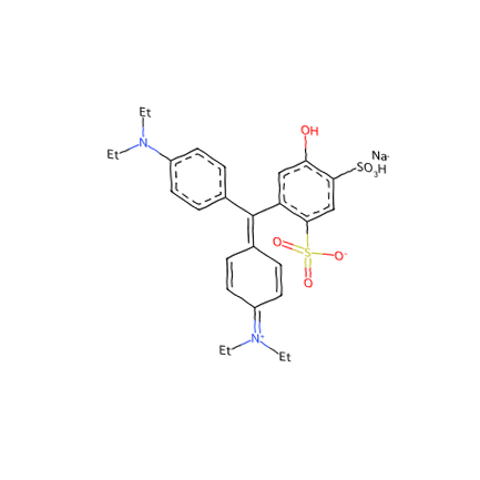 CCN(CC)c1ccc(C(=C2C=CC(=[N+](CC)CC)C=C2)c2cc(O)c(S(=O)(=O)O)cc2S(=O)(=O)[O-])cc1.[Na]